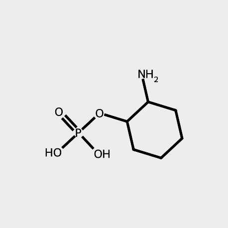 NC1CCCCC1OP(=O)(O)O